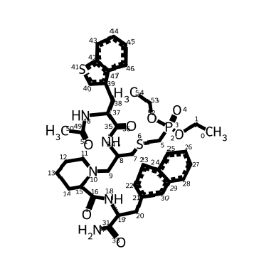 CCOP(=O)(CSCC(CN1CCCCC1C(=O)NC(Cc1ccc2ccccc2c1)C(N)=O)NC(=O)C(Cc1csc2ccccc12)NC(C)=O)OCC